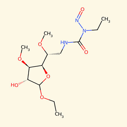 CCOC1O[C@H]([C@@H](CNC(=O)N(CC)N=O)OC)[C@H](OC)[C@H]1O